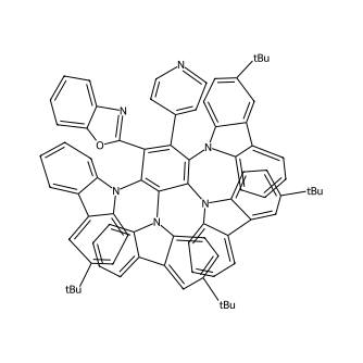 CC(C)(C)c1ccc2c(c1)c1ccccc1n2-c1c(-c2ccncc2)c(-c2nc3ccccc3o2)c(-n2c3ccccc3c3cc(C(C)(C)C)ccc32)c(-n2c3ccccc3c3cc(C(C)(C)C)ccc32)c1-n1c2ccccc2c2cc(C(C)(C)C)ccc21